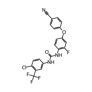 N#Cc1ccc(Oc2ccc(NC(=O)Nc3ccc(Cl)c(C(F)(F)F)c3)c(F)c2)cc1